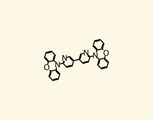 c1ccc2c(c1)Oc1ccccc1N2c1ccc(-c2ccc(N3c4ccccc4Oc4ccccc43)nc2)cn1